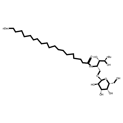 CCCCCCCCCCCCCCCCCCCCCCCCCCCCC(=O)N[C@@H](CO[C@H]1O[C@H](CO)[C@H](O)[C@H](O)[C@H]1O)[C@H](O)[C@H](O)CCCC